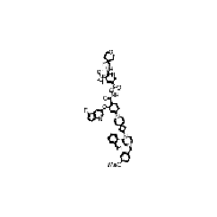 COc1ccc(CN2CCN(C3CC4(CCN(c5ccc(C(=O)NOS(=O)c6cnc(NCC7(F)CCOCC7)c([NH+](C)[O-])c6)c(Oc6cnc7c(c6)C(F)=CC7)c5)CC4)C3)[C@H](c3ccccc3C(C)C)C2)cc1